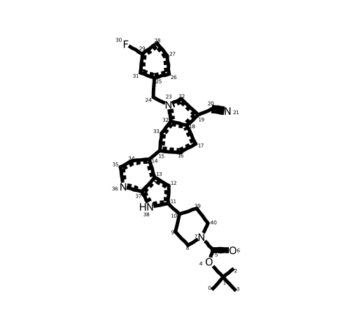 CC(C)(C)OC(=O)N1CCC(c2cc3c(-c4ccc5c(C#N)cn(Cc6cccc(F)c6)c5c4)ccnc3[nH]2)CC1